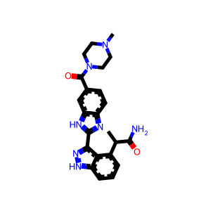 CC(C(N)=O)c1cccc2[nH]nc(-c3nc4ccc(C(=O)N5CCN(C)CC5)cc4[nH]3)c12